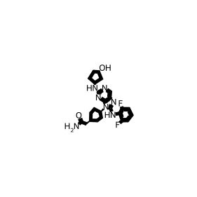 NC(=O)C[C@H]1CC[C@@H](n2c(Nc3c(F)cccc3F)nc3cnc(N[C@H]4CC[C@H](O)C4)nc32)CC1